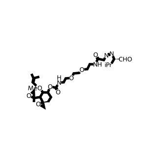 COC1C(OC(=O)NCCOCCOCCNC(=O)C/N=N\[C@H](C=O)C(C)C)CC[C@]2(CO2)C1C1(C)O[C@@H]1CC=C(C)C